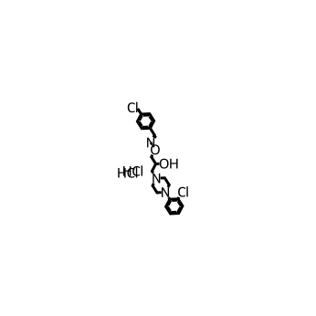 Cl.Cl.OC(CON=Cc1ccc(Cl)cc1)CN1CCN(c2ccccc2Cl)CC1